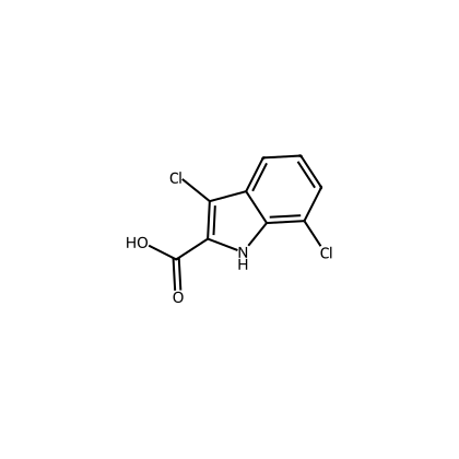 O=C(O)c1[nH]c2c(Cl)cccc2c1Cl